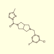 Cc1ccn(C(=O)N2CC3CN(Cc4cc(F)cc(Cl)c4)CC3C2)n1